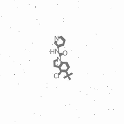 CC(C)(C)c1ccc2c(c1Cl)CCN2C(=O)Nc1cccnc1